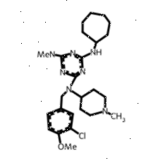 CNc1nc(NC2CCCCCC2)nc(N(Cc2ccc(OC)c(Cl)c2)C2CCN(C)CC2)n1